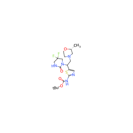 C[C@@H]1CN(CC(c2cnc(NC(=O)OC(C)(C)C)s2)N2CC(F)(F)CNC2=O)CCO1